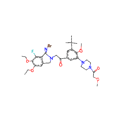 CCOc1cc2c(c(F)c1OCC)/C(=N/Br)N(CC(=O)c1cc(N3CCN(C(=O)COC)CC3)c(OC)c(C(C)(C)C)c1)C2